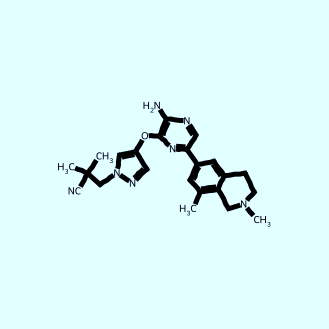 Cc1cc(-c2cnc(N)c(Oc3cnn(CC(C)(C)C#N)c3)n2)cc2c1CN(C)CC2